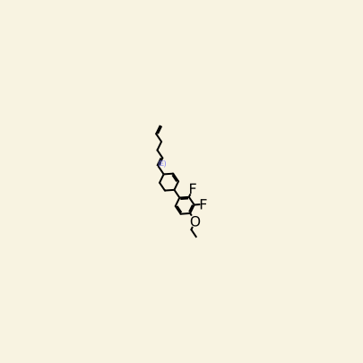 C=CCC/C=C/C1C=CC(c2ccc(OCC)c(F)c2F)CC1